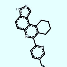 Oc1ccc(-c2nc3ccc4[nH]ncc4c3c3c2CCCC3)nc1